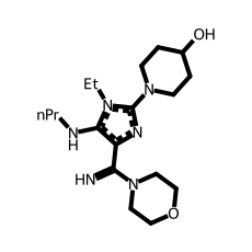 CCCNc1c(C(=N)N2CCOCC2)nc(N2CCC(O)CC2)n1CC